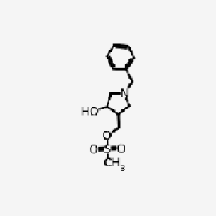 CS(=O)(=O)OCC1CN(Cc2ccccc2)CC1O